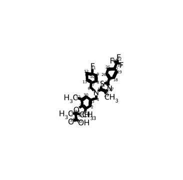 Cc1cc(CN(Cc2ccc(F)cc2)c2sc(-c3ccc(C(F)(F)F)cc3)nc2C)cc(C)c1OC(C)(C)C(=O)O